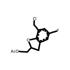 CC(=O)OCC1Cc2cc(F)cc(CCl)c2O1